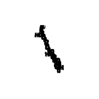 [N-]=[N+]=NCC(O)COCCOCCOCCC(=O)Nc1ccc2c(c1)CN(C1CCC(=O)NC1=O)C2=O